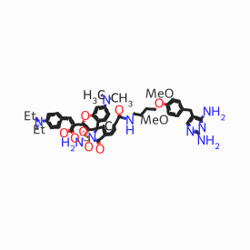 CCN(CC)c1ccc2cc(C3=CC4(c5ccc(N(C)C)cc5O3)c3cc(C(=O)NCCCCOc5c(OC)cc(Cc6cnc(N)nc6N)cc5OC)ccc3C(=O)N4S(N)(=O)=O)c(=O)oc2c1